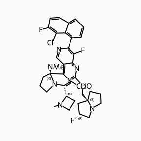 CN[C@]1(c2nc(OC[C@@]34CCCN3C[C@H](F)C4)nc3c(F)c(-c4cccc5ccc(F)c(Cl)c45)ncc23)CCCN1C(=CC=O)[C@@H]1CCN1C